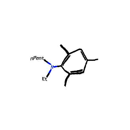 CCCCCN(CC)c1c(C)cc(C)cc1C